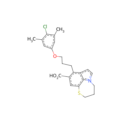 Cc1cc(OCCCc2c(C(=O)O)cc3c4c2ccn4CCCS3)cc(C)c1Cl